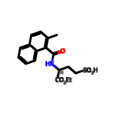 CCOC(=O)[C@H](CCS(=O)(=O)O)NC(=O)c1c(C)ccc2ccccc12